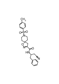 Cc1ccc(S(=O)(=O)N2CCC3(CC2)CC(C(=O)NC(CC#N)Cc2ccccc2)=NO3)cc1